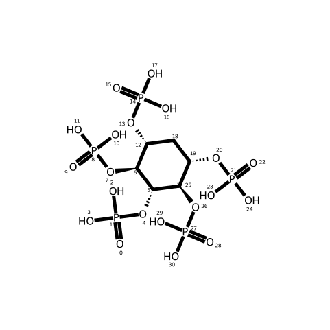 O=P(O)(O)O[C@@H]1[C@@H](OP(=O)(O)O)[C@H](OP(=O)(O)O)C[C@H](OP(=O)(O)O)[C@H]1OP(=O)(O)O